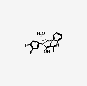 CC1=Nc2ccccc2N2NN(c3ccc(F)c(F)c3)C(O)=C12.O